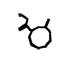 CC(C)CC(=O)C1CCSCCCC(=O)C1